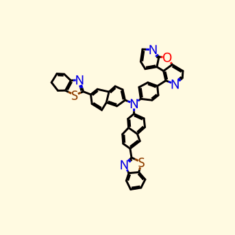 C1=Cc2nc(-c3ccc4cc(N(c5ccc(-c6nccc7oc8ncccc8c67)cc5)c5ccc6cc(-c7nc8ccccc8s7)ccc6c5)ccc4c3)sc2CC1